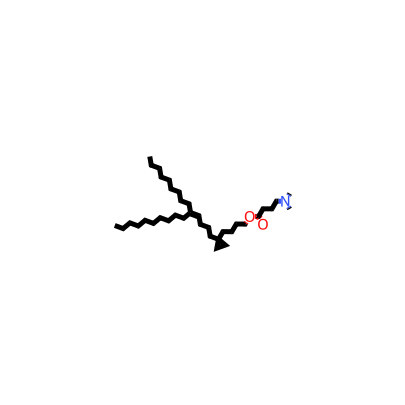 CCCCCCCCCC/C(=C\CCCC1(CCCCOC(=O)CCCN(C)C)CC1)CCCCCCCCC